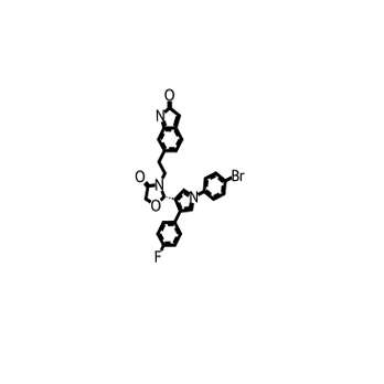 O=C1C=c2ccc(CCN3C(=O)CO[C@H]3c3cn(-c4ccc(Br)cc4)cc3-c3ccc(F)cc3)cc2=N1